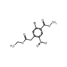 CCOC(=O)Cc1cc(Br)c(C(=O)OC)cc1[N+](=O)[O-]